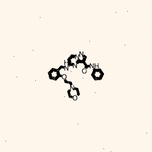 O=C(Nc1ccccc1)c1cnn2ccc(NCc3ccccc3OCCN3CCOCC3)nc12